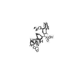 Cc1ccc(C(c2cc(OC(F)F)c3c(nnn3C)c2C)C(C)(C)C(=O)O)cc1CN1CC2(CCOCC2)Oc2ncccc2S1(O)O